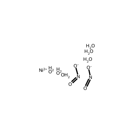 O.O.O.O.O.O.O=N[O-].O=N[O-].[Ni+2]